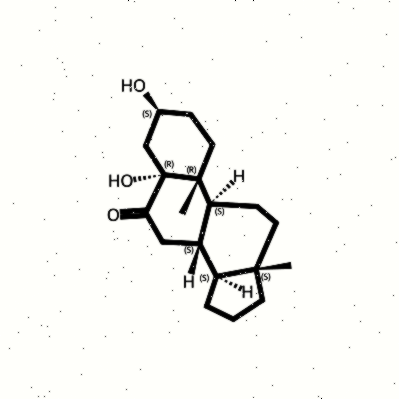 C[C@@]12CCC[C@H]1[C@@H]1CC(=O)[C@@]3(O)C[C@@H](O)CC[C@]3(C)[C@H]1CC2